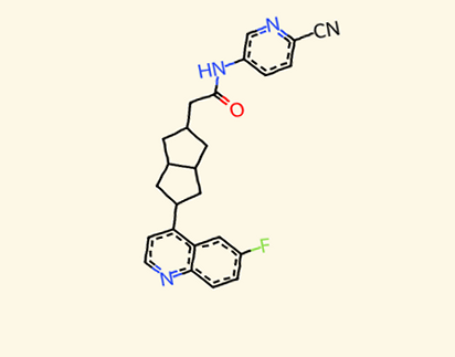 N#Cc1ccc(NC(=O)CC2CC3CC(c4ccnc5ccc(F)cc45)CC3C2)cn1